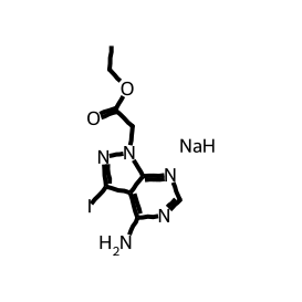 CCOC(=O)Cn1nc(I)c2c(N)ncnc21.[NaH]